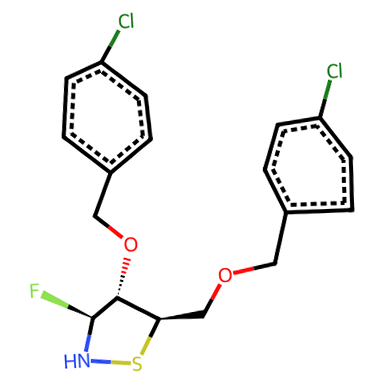 F[C@@H]1NS[C@H](COCc2ccc(Cl)cc2)[C@H]1OCc1ccc(Cl)cc1